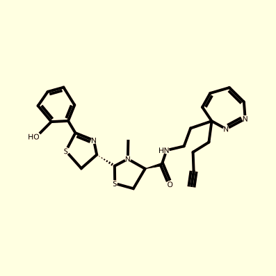 C#CCCC1(CCNC(=O)[C@H]2CSC([C@@H]3CSC(c4ccccc4O)=N3)N2C)C=CC=CN=N1